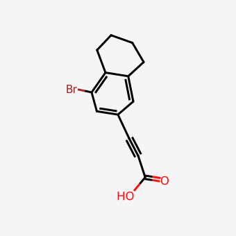 O=C(O)C#Cc1cc(Br)c2c(c1)CCCC2